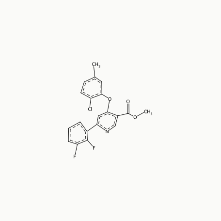 COC(=O)c1cnc(-c2cccc(F)c2F)cc1Oc1cc(C)ccc1Cl